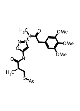 COc1cc(CC(=O)N(C)[n+]2cc([N-]C(=O)[C@H](C)CSC(C)=O)on2)cc(OC)c1OC